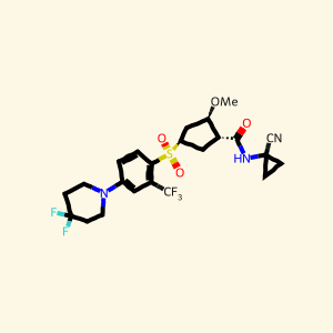 CO[C@@H]1C[C@H](S(=O)(=O)c2ccc(N3CCC(F)(F)CC3)cc2C(F)(F)F)C[C@H]1C(=O)NC1(C#N)CC1